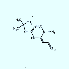 C=C/C=C(/NC(=O)OC(C)(C)C)N(C)N